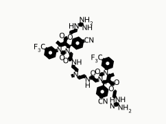 CC1=C(C(=O)OCCNC(=N)N)[C@@H](c2ccc(C#N)cc2)N(CC(=O)NCCN(C)CCNC(=O)CN2C(=O)N(c3cccc(C(F)(F)F)c3)C(C)=C(C(=O)OCCNC(=N)N)[C@H]2c2ccc(C#N)cc2)C(=O)N1c1cccc(C(F)(F)F)c1